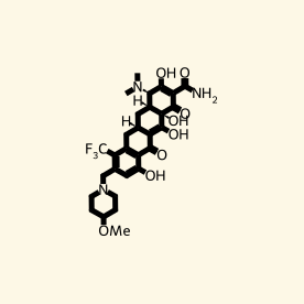 COC1CCN(Cc2cc(O)c3c(c2C(F)(F)F)C[C@H]2C[C@H]4[C@H](N(C)C)C(O)=C(C(N)=O)C(=O)[C@@]4(O)C(O)=C2C3=O)CC1